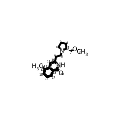 COC[C@H]1CCCN1CCc1cc2c(C)cccc2c(=O)[nH]1